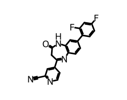 N#Cc1cc(C2=Nc3ccc(-c4ccc(F)cc4F)cc3NC(=O)C2)ccn1